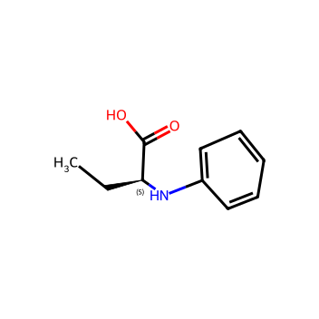 CC[C@H](Nc1ccccc1)C(=O)O